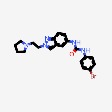 O=C(Nc1ccc(Br)cc1)Nc1ccc2nn(CCN3CCCC3)cc2c1